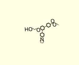 CCOC(=O)c1ccc(-c2ccc(OCCCO)c(-c3ccc(N4CCCC4)cc3)c2)cc1